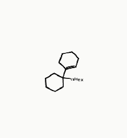 CCCCCCC1(C2=CCCCC2)CCCCC1